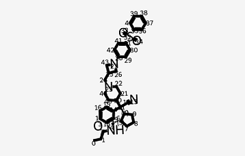 CCC(=O)NC[C@H]1CCC[C@@H]1C(C#N)(c1ccccc1)C1CCN(CC2CN(c3ccc(S(=O)(=O)c4ccccc4)cc3)C2)CC1